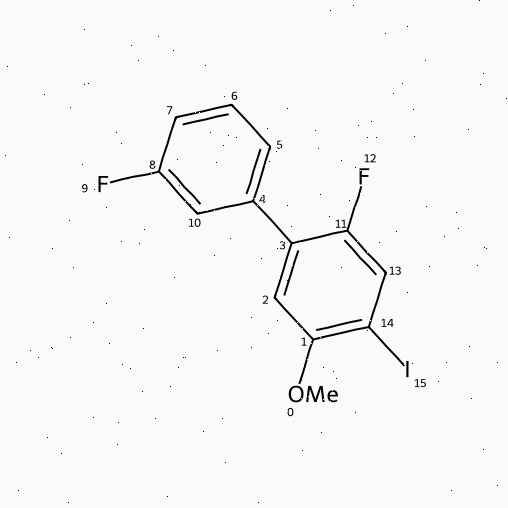 COc1cc(-c2cccc(F)c2)c(F)cc1I